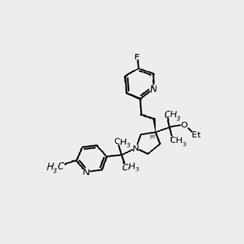 CCOC(C)(C)[C@]1(CCc2ccc(F)cn2)CCN(C(C)(C)c2ccc(C)nc2)C1